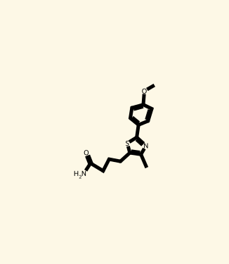 COc1ccc(-c2nc(C)c(CCCC(N)=O)s2)cc1